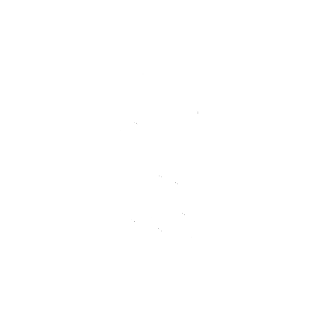 Nc1nc(Cl)nc2c1cnn2Cc1ccc(Br)c(CCn2cc(CO)ccc2=O)c1